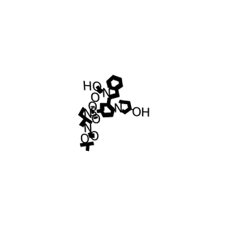 CC(C)(C)OC(=O)N1CC2(CCN2S(=O)(=O)c2ccc(N3CC[C@H](O)C3)c(-c3cc4ccccc4n3C(=O)O)c2)C1